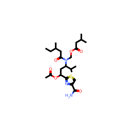 CCC(C)CC(=O)N(COC(=O)CC(C)C)C(CC(OC(C)=O)c1nc(C(N)=O)cs1)C(C)C